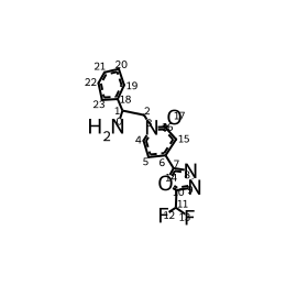 NC(Cn1ccc(-c2nnc(C(F)F)o2)cc1=O)c1ccccc1